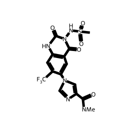 CNC(=O)c1cn(-c2cc3c(=O)n(NS(C)(=O)=O)c(=O)[nH]c3cc2C(F)(F)F)cn1